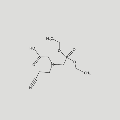 CCOP(=O)(CN(CCC#N)CC(=O)O)OCC